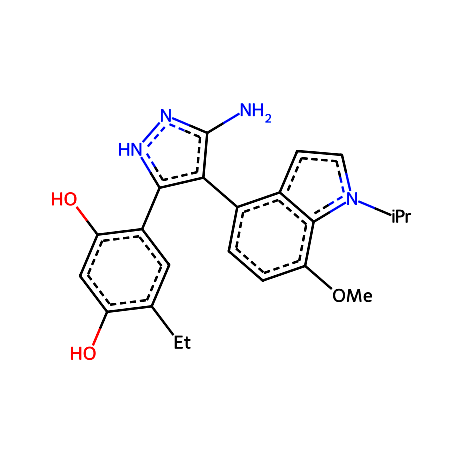 CCc1cc(-c2[nH]nc(N)c2-c2ccc(OC)c3c2ccn3C(C)C)c(O)cc1O